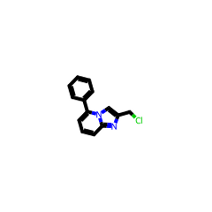 ClCc1cn2c(-c3ccccc3)cccc2n1